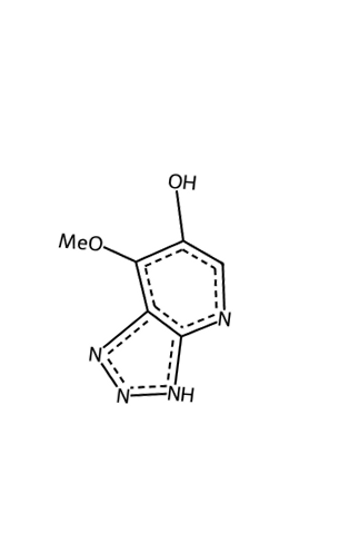 COc1c(O)cnc2[nH]nnc12